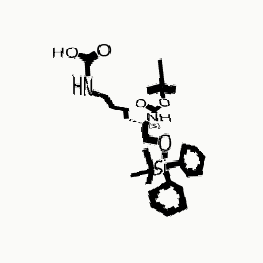 CC(C)(C)OC(=O)N[C@@H](CCCCNC(=O)O)CO[Si](c1ccccc1)(c1ccccc1)C(C)(C)C